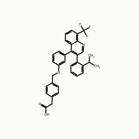 CC(C)c1ccccc1-c1cnc2c(C(F)(F)F)cccc2c1-c1cccc(OCc2ccc(CC(=O)O)cc2)c1